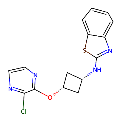 Clc1nccnc1O[C@H]1C[C@@H](Nc2nc3ccccc3s2)C1